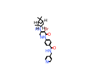 C[C@H]1[C@H]2C[C@H](C[C@H]1Nc1cnn(-c3ccc(C(=O)NCc4ccncc4)cc3)c(=O)c1Br)C2(C)C